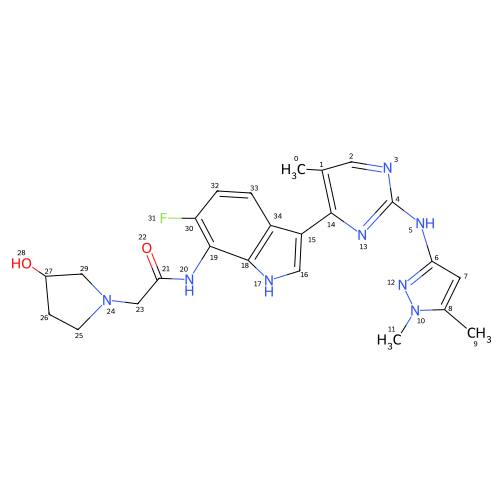 Cc1cnc(Nc2cc(C)n(C)n2)nc1-c1c[nH]c2c(NC(=O)CN3CCC(O)C3)c(F)ccc12